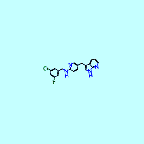 Fc1cc(Cl)cc(CNc2ccc(Cc3c[nH]c4ncccc34)cn2)c1